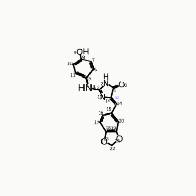 O=C1NC(Nc2ccc(O)cc2)=N/C1=C\c1ccc2c(c1)OCO2